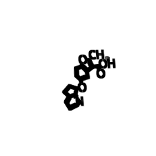 Cc1oc2ccc(OC3CCc4cccnc43)cc2c1C(=O)O